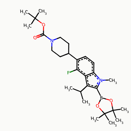 CC(C)c1c(B2OC(C)(C)C(C)(C)O2)n(C)c2ccc(C3CCN(C(=O)OC(C)(C)C)CC3)c(F)c12